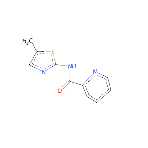 Cc1cnc(NC(=O)c2ccccn2)s1